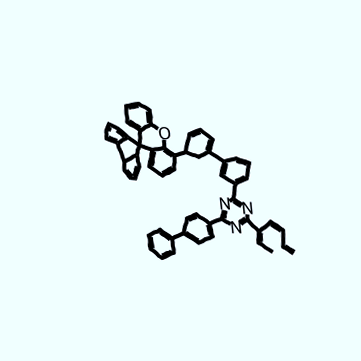 C=C/C=C\C(=C/C)c1nc(-c2ccc(-c3ccccc3)cc2)nc(-c2cccc(C3=CC=CC(c4cccc5c4Oc4ccccc4C54c5ccccc5C5C=CC=CC54)C3)c2)n1